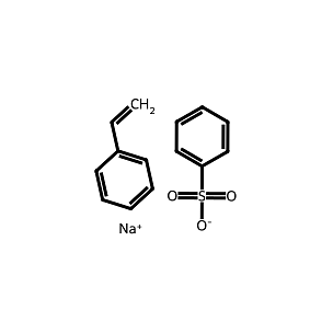 C=Cc1ccccc1.O=S(=O)([O-])c1ccccc1.[Na+]